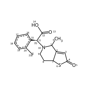 CC1C2=CC(=O)SC2CCN1[C@H](C(=O)O)c1ccccc1F